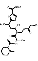 CC[C@H](C)[C@H](NC(=O)[C@H]1CCCCN1C)C(=O)N(COC(=O)CC(C)C)[C@H](C[C@@H](OC(C)=O)c1nc(C(=O)NC)cs1)C(C)C